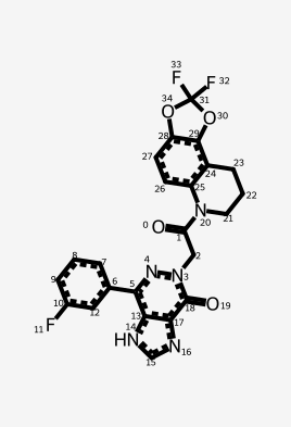 O=C(Cn1nc(-c2cccc(F)c2)c2[nH]cnc2c1=O)N1CCCc2c1ccc1c2OC(F)(F)O1